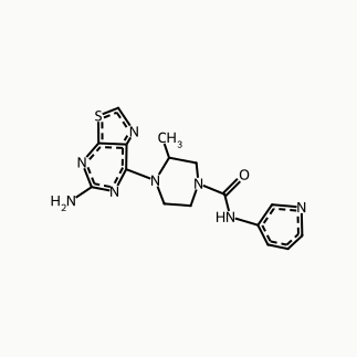 CC1CN(C(=O)Nc2cccnc2)CCN1c1nc(N)nc2scnc12